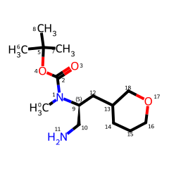 CN(C(=O)OC(C)(C)C)[C@H](CN)CC1CCCOC1